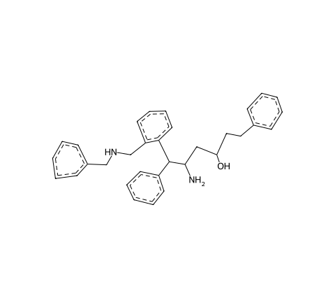 NC(CC(O)CCc1ccccc1)C(c1ccccc1)c1ccccc1CNCc1ccccc1